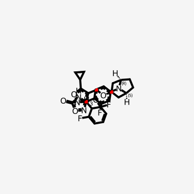 CC1(F)C=CC=C(F)C1c1noc(C2CC2)c1CO[C@H]1C[C@H]2CC[C@@H](C1)N2c1ccc(-c2noc(=O)[nH]2)c(F)c1